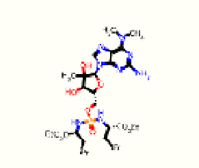 CCOC(=O)[C@H](CC(C)C)NP(=O)(N[C@@H](CC(C)C)C(=O)OCC)OC[C@H]1OC(n2cnc3c(N(C)C)nc(N)nc32)C(C)(O)C1O